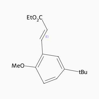 CCOC(=O)/C=C/c1cc(C(C)(C)C)ccc1OC